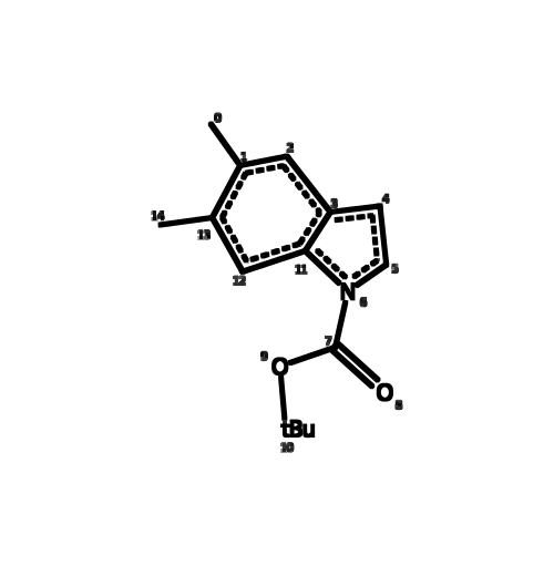 Cc1cc2ccn(C(=O)OC(C)(C)C)c2cc1C